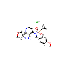 COc1ccc(CN(c2ccnc(C3(N)CCOC3)c2)S(=O)(=O)C2CC2)cc1.Cl